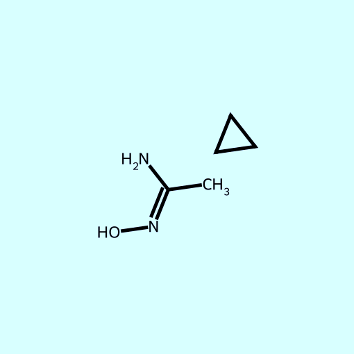 C1CC1.CC(N)=NO